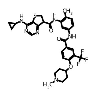 Cc1ccc(NC(=O)c2ccc(OC3CCN(C)CC3)c(C(F)(F)F)c2)cc1NC(=O)C1CSc2c(NC3CC3)ncnc21